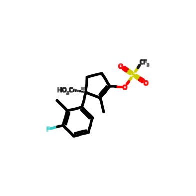 CC1=C(OS(=O)(=O)C(F)(F)F)CC[C@]1(C(=O)O)c1cccc(F)c1C